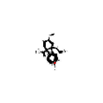 COC1=CC(CC=O)(c2ccc(F)cc2)C(C(=O)O)(c2ccncc2)C=C1